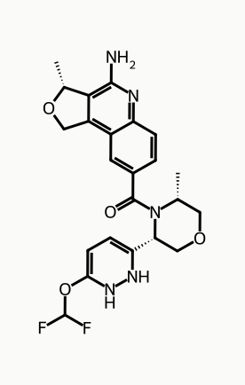 C[C@@H]1COC[C@H](C2=CC=C(OC(F)F)NN2)N1C(=O)c1ccc2nc(N)c3c(c2c1)CO[C@@H]3C